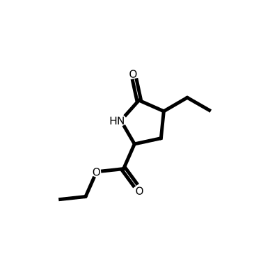 CCOC(=O)C1CC(CC)C(=O)N1